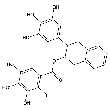 O=C(OC1Cc2ccccc2CC1c1cc(O)c(O)c(O)c1)c1cc(O)c(O)c(O)c1F